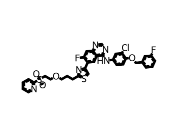 O=S(=O)(CCOCCCc1nc(-c2cc3c(Nc4ccc(OCc5cccc(F)c5)c(Cl)c4)ncnc3cc2F)cs1)c1ccccn1